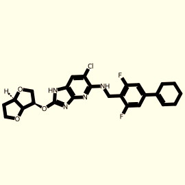 Fc1cc(C2=CCCCC2)cc(F)c1CNc1nc2nc(O[C@@H]3CO[C@@H]4CCOC43)[nH]c2cc1Cl